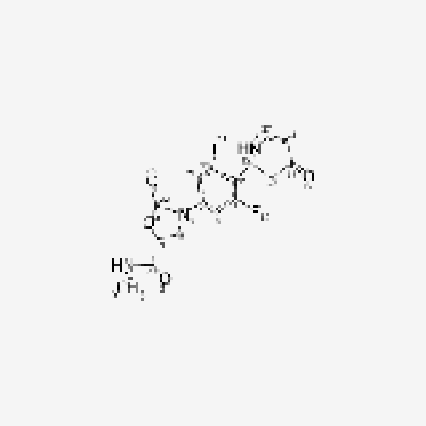 CNC(=O)[C@H]1CN(c2cc(F)c(C3CC(=O)C=CN3)c(F)c2)C(=O)O1